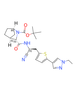 CCn1cc(-c2ccc(C[C@@H](C#N)NC(=O)[C@@H]3[C@H]4CC[C@H](C4)N3C(=O)OC(C)(C)C)s2)cn1